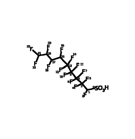 O=S(=O)(O)C(F)C(F)(F)C(F)(F)C(F)(F)C(F)(F)C(F)C(F)C(F)C(F)F